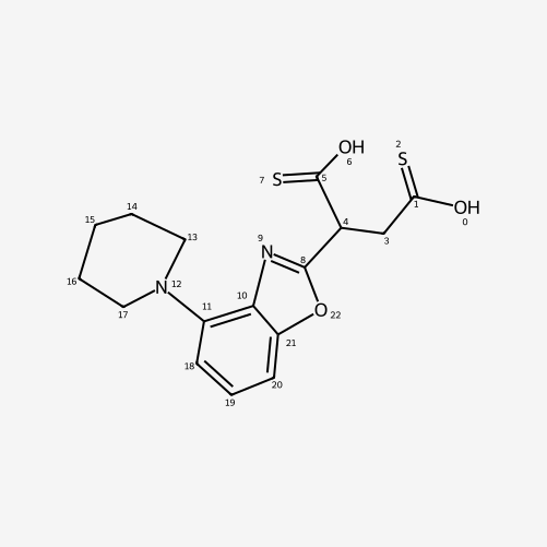 OC(=S)CC(C(O)=S)c1nc2c(N3CCCCC3)cccc2o1